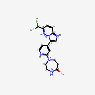 O=C1CCN(c2cc(-c3cnc4ccc(C(F)F)nn34)ccn2)CCN1